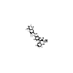 CN1CCOc2cc(C(=O)Nc3ccc(C(C(=O)NO)c4ccccc4)cc3)ccc21